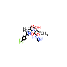 CCCC[C@@H](C(=O)C(=O)Nc1ccn[nH]1)N(C(=O)O)[C@H](Cn1cc(-c2ccc(C(F)(F)F)cc2)cn1)C(C)(C)C